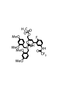 COc1ccc(CN(Cc2ccc(OC)cc2OC)C(=N)O/C(=C\[C@@H](C)c2cc(NC(=O)C(F)(F)F)ccc2F)COS(C)(=O)=O)c(OC)c1